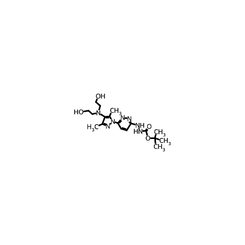 Cc1nn(-c2ccc(NNC(=O)OC(C)(C)C)nn2)c(C)c1N(CCO)CCO